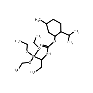 CCO[Si](OCC)(OCC)C(CC)NC(=O)OC1CC(C)CCC1C(C)C